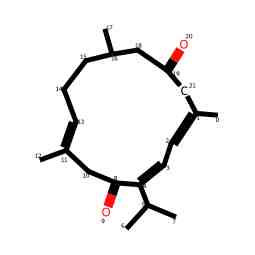 C/C1=C\C=C(\C(C)C)C(=O)C/C(C)=C/CCC(C)CC(=O)C1